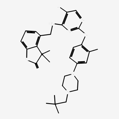 Cc1cc(N2CCN(CC(C)(C)O)CC2)ccc1Nc1ncc(Br)c(NCc2cccc3c2C(C)(C)C(=O)N3)n1